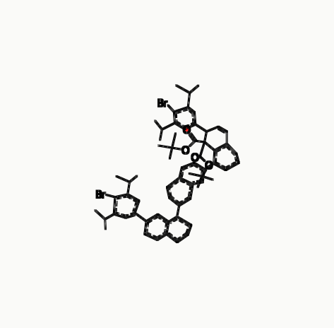 CC(C)c1cc(-c2ccc3cccc(-c4ccc5ccc(-c6cccc7c6C(C(=O)OC(C)(C)C)(C(=O)OC(C)(C)C)C(c6cc(C(C)C)c(Br)c(C(C)C)c6)C=C7)cc5c4)c3c2)cc(C(C)C)c1Br